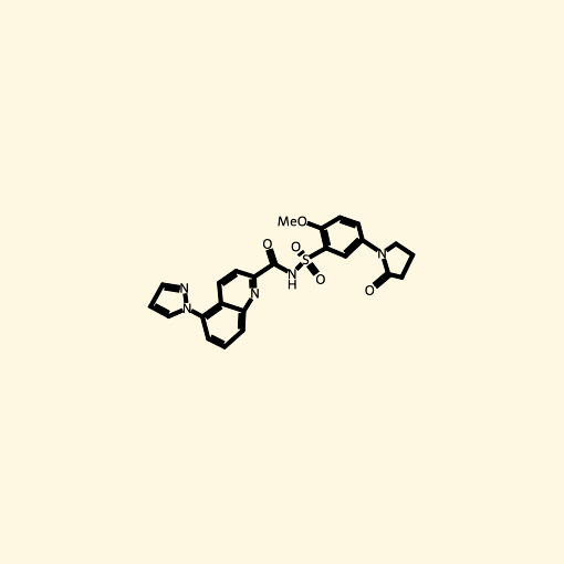 COc1ccc(N2CCCC2=O)cc1S(=O)(=O)NC(=O)c1ccc2c(-n3cccn3)cccc2n1